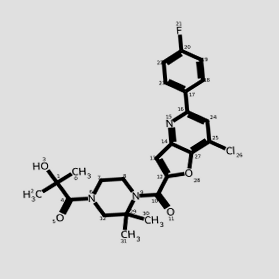 CC(C)(O)C(=O)N1CCN(C(=O)c2cc3nc(-c4ccc(F)cc4)cc(Cl)c3o2)C(C)(C)C1